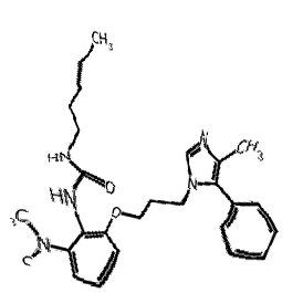 CCCCCNC(=O)Nc1c(OCCCn2cnc(C)c2-c2ccccc2)cccc1N(C)C